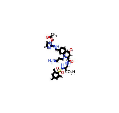 Cc1cc(C)c(S(=O)(=O)NC(CNC(=O)C2CC(=O)c3ccc(CNc4nccn4OC(=O)C(F)(F)F)cc3N2CCCN)C(=O)O)c(C)c1